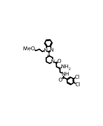 COCCCn1c([C@@H]2CCCN(C(=O)C[C@H](N)CNC(=O)c3ccc(Cl)c(Cl)c3)C2)nc2ccccc21